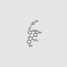 CCC1CN(CCOc2ccc([C@H]3Oc4ccc(O)cc4C(C)=C3c3ccc(O)c(OC)c3)cc2)C1